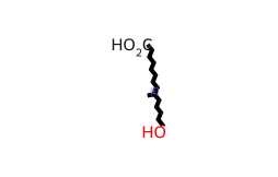 C/C(=C\CCCCCCC(=O)O)CCCCCO